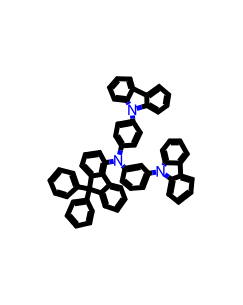 c1ccc(C2(c3ccccc3)c3ccccc3-c3c(N(c4ccc(-n5c6ccccc6c6ccccc65)cc4)c4cccc(-n5c6ccccc6c6ccccc65)c4)cccc32)cc1